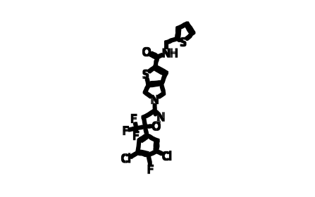 O=C(NCc1cccs1)c1cc2c(s1)CN(C1=NOC(c3cc(Cl)c(F)c(Cl)c3)(C(F)(F)F)C1)C2